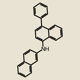 c1ccc(-c2ccc(Nc3ccc4ccccc4c3)c3ccccc23)cc1